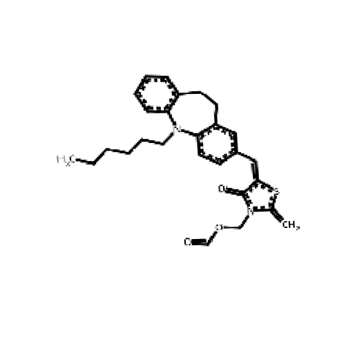 C=c1s/c(=C/c2ccc3c(c2)CCc2ccccc2N3CCCCCC)c(=O)n1COC=O